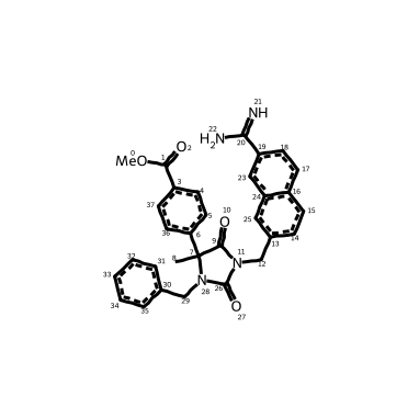 COC(=O)c1ccc(C2(C)C(=O)N(Cc3ccc4ccc(C(=N)N)cc4c3)C(=O)N2Cc2ccccc2)cc1